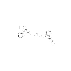 CC(CCCCCC(O)CCCCCC(C)(C(=O)O)c1ccccc1)(OC=O)c1ccccc1